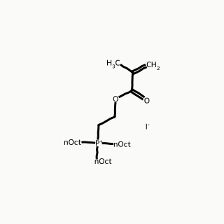 C=C(C)C(=O)OCC[P+](CCCCCCCC)(CCCCCCCC)CCCCCCCC.[I-]